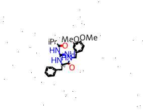 COc1ccc(CNC(=O)[C@@H](Cc2ccccc2)NC(=N)NC(=O)C(C)C)cc1OC